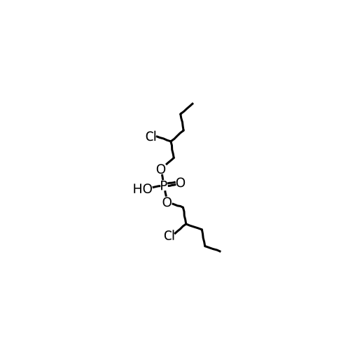 CCCC(Cl)COP(=O)(O)OCC(Cl)CCC